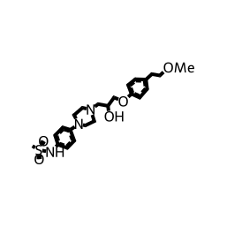 COCCc1ccc(OCC(O)CN2CCN(c3ccc(NS(C)(=O)=O)cc3)CC2)cc1